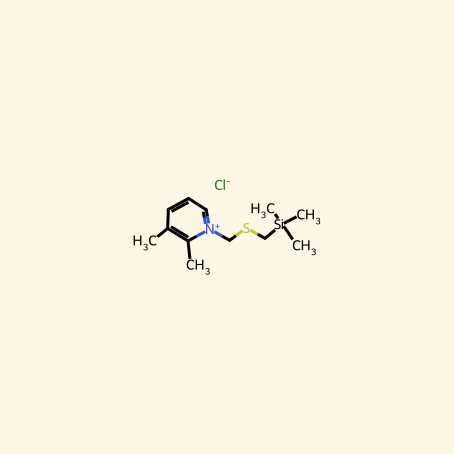 Cc1ccc[n+](CSC[Si](C)(C)C)c1C.[Cl-]